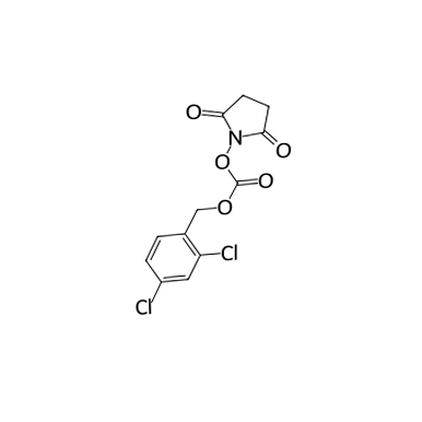 O=C(OCc1ccc(Cl)cc1Cl)ON1C(=O)CCC1=O